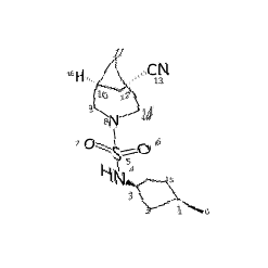 C[C@H]1C[C@@H](NS(=O)(=O)N2C[C@H]3C[C@@]3(C#N)C2)C1